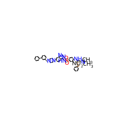 CN(C)CCC(CSc1ccccc1)Nc1ccc(S(=O)(=O)Nc2ncnc3cc(N4CCN(Cc5cccc(-c6ccccc6)c5)CC4)ccc23)cc1[N+](=O)[O-]